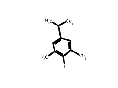 Cc1cc(C(C)C)cc(C)c1I